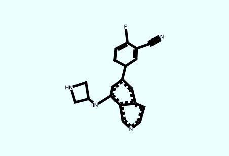 N#CC1=CC(c2cc(NC3CNC3)c3cnccc3c2)CC=C1F